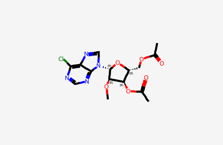 CO[C@@H]1[C@H](OC(C)=O)[C@@H](COC(C)=O)O[C@H]1n1cnc2c(Cl)ncnc21